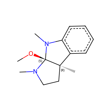 CO[C@]12N(C)CC[C@]1(C)c1ccccc1N2C